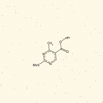 CCCOC(=O)c1cnc(SC)nc1C